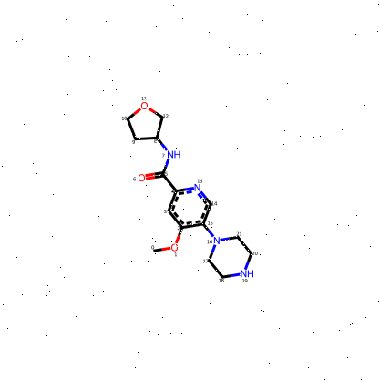 COc1cc(C(=O)NC2CCOC2)ncc1N1CCNCC1